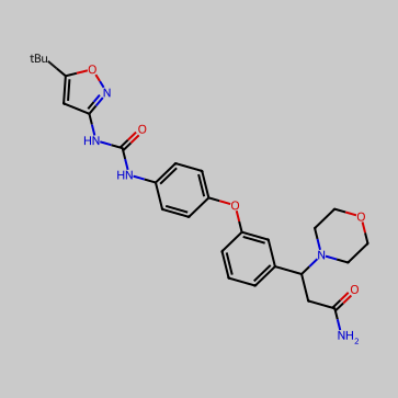 CC(C)(C)c1cc(NC(=O)Nc2ccc(Oc3cccc(C(CC(N)=O)N4CCOCC4)c3)cc2)no1